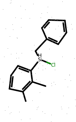 Cc1cccc([SiH](Cl)Cc2ccccc2)c1C